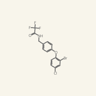 O=C(NCc1ccc(Oc2ccc(Cl)cc2Br)cc1)C(F)(F)F